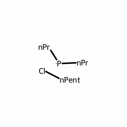 CCCCCCl.CCC[P]CCC